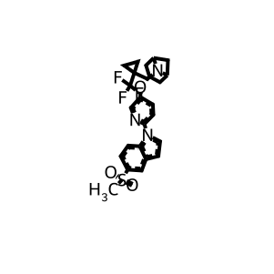 CS(=O)(=O)c1ccc2c(ccn2-c2ccc(OC3CC4CC(C3)N4CC3(C(F)(F)F)CC3)cn2)c1